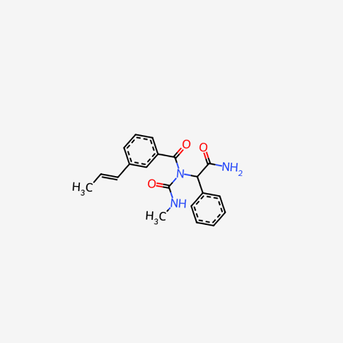 C/C=C/c1cccc(C(=O)N(C(=O)NC)C(C(N)=O)c2ccccc2)c1